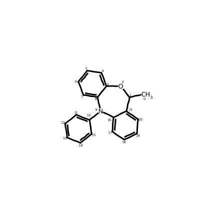 CC1Oc2ccccc2N(c2ccccc2)c2ccccc21